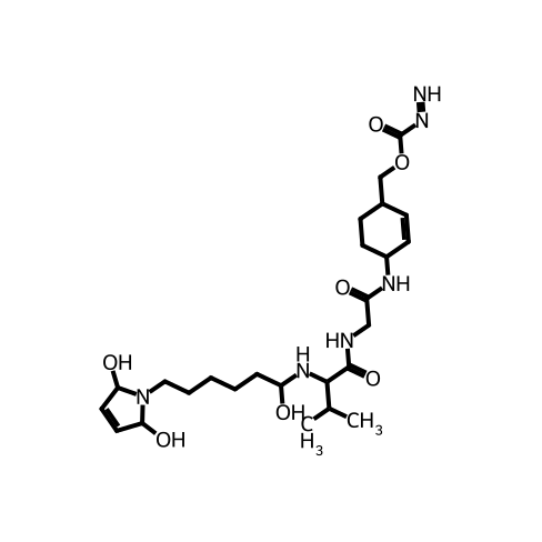 CC(C)C(NC(O)CCCCCN1C(O)C=CC1O)C(=O)NCC(=O)NC1C=CC(COC(=O)N=N)CC1